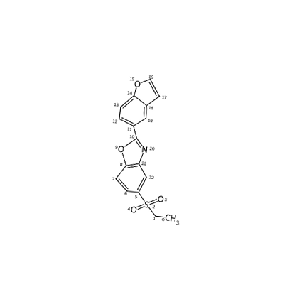 CCS(=O)(=O)c1ccc2oc(-c3ccc4occc4c3)nc2c1